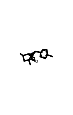 Cc1ccc(/C=C2\C(=O)C3(C)CC(C)C2C3(C)C)cc1